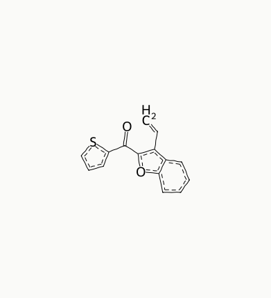 C=Cc1c(C(=O)c2cccs2)oc2ccccc12